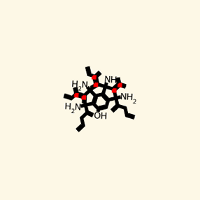 C=CCC(=C)C(N)(CC=C)c1cc(O)c(C(N)(CC=C)C(=C)CC=C)c(C(N)(CC=C)C(=C)CC=C)c1C(N)(CC=C)C(=C)CC=C